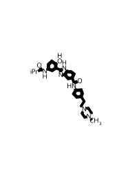 CC(C)C(=O)Nc1ccc(O)c(-c2nc3cc(C(=O)Nc4ccc(CCN5CCN(C)CC5)cc4)ccc3[nH]2)c1